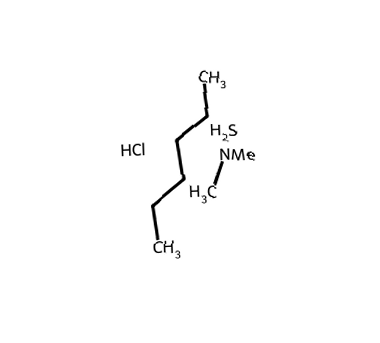 CCCCCC.CNC.Cl.S